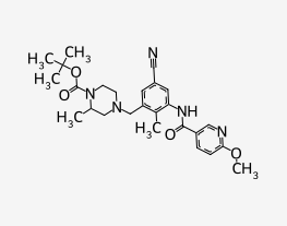 COc1ccc(C(=O)Nc2cc(C#N)cc(CN3CCN(C(=O)OC(C)(C)C)C(C)C3)c2C)cn1